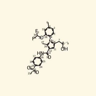 Cc1ccc(-n2c(C[C@H](C)O)cc(C(=O)Nc3ccc(S(C)(=O)=O)cc3)c2C)c(OC(F)F)c1